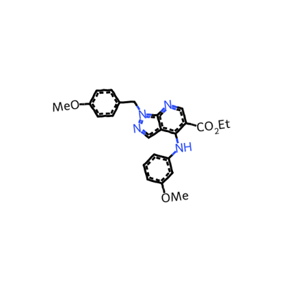 CCOC(=O)c1cnc2c(cnn2Cc2ccc(OC)cc2)c1Nc1cccc(OC)c1